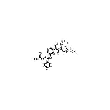 CSc1ncc2c(n1)N(C)CCN(c1cccc(OC(COC(N)=O)c3ccccc3)c1)C2=O